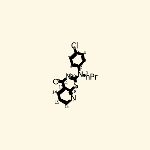 CCCN(c1ccc(Cl)cc1)c1nc(=O)c2cccnc2s1